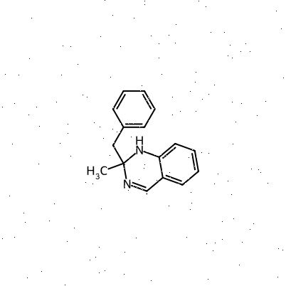 CC1(Cc2ccccc2)N=[C]c2ccccc2N1